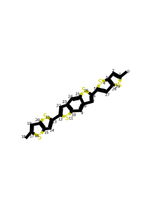 Cc1cc2sc(-c3cc4cc5sc(-c6cc7sc(C)cc7s6)cc5cc4s3)cc2s1